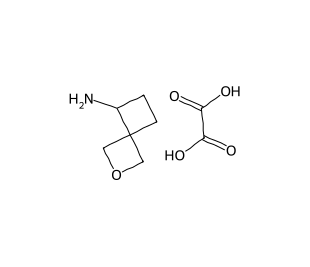 NC1CCC12COC2.O=C(O)C(=O)O